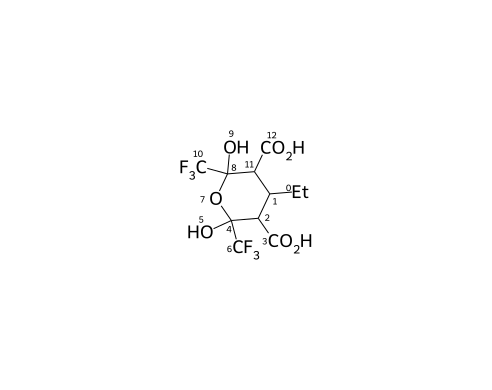 CCC1C(C(=O)O)C(O)(C(F)(F)F)OC(O)(C(F)(F)F)C1C(=O)O